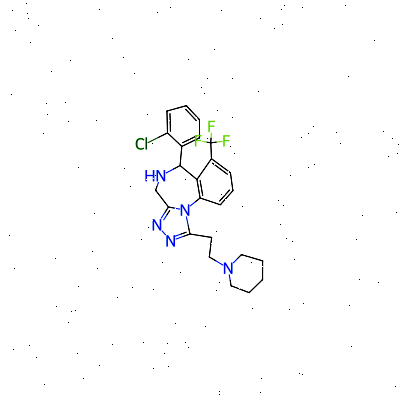 FC(F)(F)c1cccc2c1C(c1ccccc1Cl)NCc1nnc(CCN3CCCCC3)n1-2